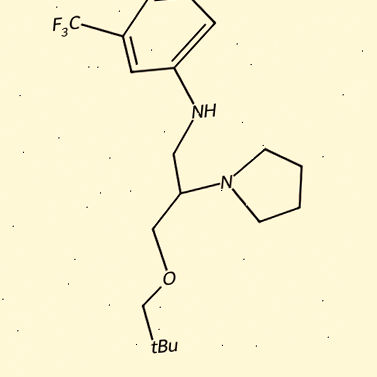 CC(C)(C)COCC(CNc1cccc(C(F)(F)F)c1)N1CCCC1